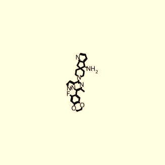 Cc1nc(N2CCC3(CC2)Cc2ncccc2[C@H]3N)c2ccnn2c1-c1cc2c(cc1F)OCCO2